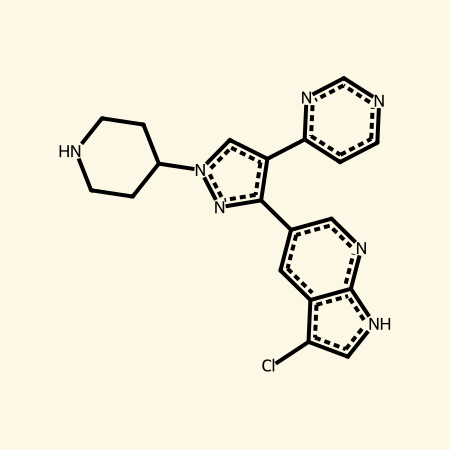 Clc1c[nH]c2ncc(-c3nn(C4CCNCC4)cc3-c3ccncn3)cc12